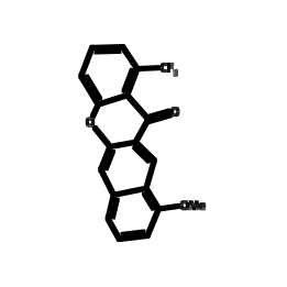 COc1cccc2cc3oc4cccc(C(F)(F)F)c4c(=O)c3cc12